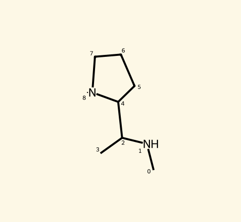 CNC(C)C1CCC[N]1